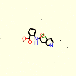 COC(=O)c1ccccc1NC(=O)Cc1cnccc1Cl